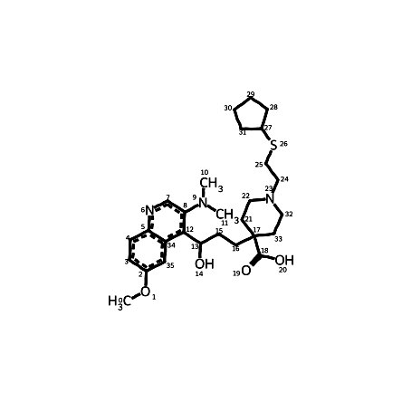 COc1ccc2ncc(N(C)C)c(C(O)CCC3(C(=O)O)CCN(CCSC4CCCC4)CC3)c2c1